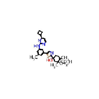 Cc1cc(Nc2nccc(C3CCC3)n2)cc(-c2cnc([C@@]3(O)CC[C@](C)(C(=O)O)C(C)(C)C3)s2)c1